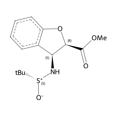 COC(=O)[C@@H]1Oc2ccccc2[C@@H]1N[S@+]([O-])C(C)(C)C